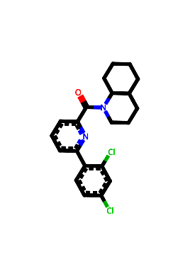 O=C(c1cccc(-c2ccc(Cl)cc2Cl)n1)N1CCCC2CCCCC21